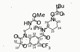 COC(=O)NCCN1C(=O)C(C)(C)Oc2cc(C(F)(F)F)c(C(=O)N(C(C)C)[C@@H]3CCCN(OC(=O)C(C)(C)C)C3)cc21